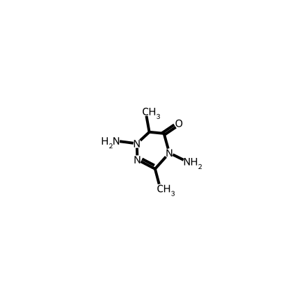 CC1=NN(N)C(C)C(=O)N1N